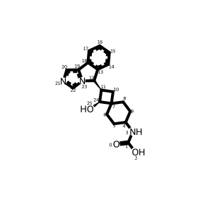 O=C(O)NC1CCC2(CC1)C[C@H](C1c3ccccc3-c3cncn31)[C@@H]2O